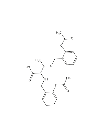 CC(=O)Oc1ccccc1CNC(C(=O)O)C(C)OCc1ccccc1OC(C)=O